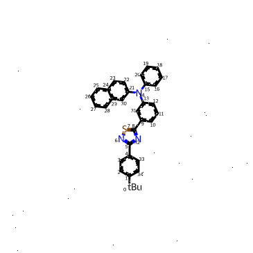 CC(C)(C)c1ccc(-c2nsc(-c3cccc(N(c4ccccc4)c4ccc5ccccc5c4)c3)n2)cc1